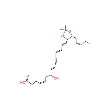 CC/C=C\C[C@@H]1OC(C)(C)O[C@@H]1/C=C/C=C/C#C/C=C/[C@@H](O)C/C=C\CCC(=O)O